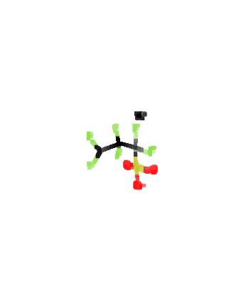 O=S(=O)([O-])C(F)(F)C(F)(F)C(F)F.[K+]